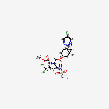 CC(C)OC(=O)N1[C@H](C(F)F)C[C@H](NS(C)(=O)=O)[C@@H]1CO[C@H]1CC[C@@]2(c3ncc(F)cn3)C[C@H]2C1